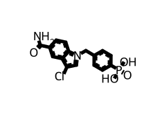 NC(=O)c1ccc2c(c1)c(Cl)cn2Cc1ccc(P(=O)(O)O)cc1